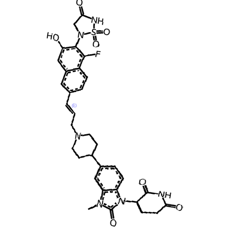 Cn1c(=O)n(C2CCC(=O)NC2=O)c2ccc(C3CCN(C/C=C/c4ccc5c(F)c(N6CC(=O)NS6(=O)=O)c(O)cc5c4)CC3)cc21